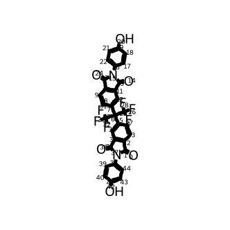 O=C1c2ccc(C(c3ccc4c(c3)C(=O)N(c3ccc(O)cc3)C4=O)(C(F)(F)F)C(F)(F)F)cc2C(=O)N1c1ccc(O)cc1